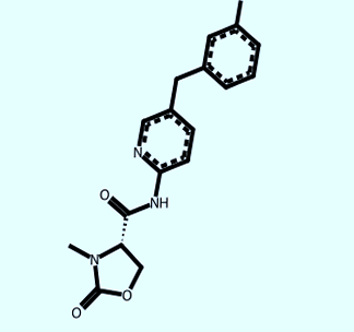 CN1C(=O)OC[C@H]1C(=O)Nc1ccc(Cc2cccc(F)c2)cn1